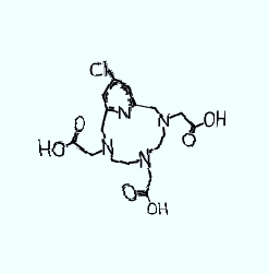 O=C(O)CN1CCN(CC(=O)O)Cc2cc(Cl)cc(n2)CN(CC(=O)O)CC1